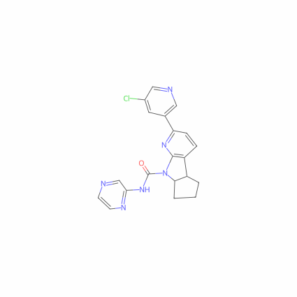 O=C(Nc1cnccn1)N1c2nc(-c3cncc(Cl)c3)ccc2C2CCCC21